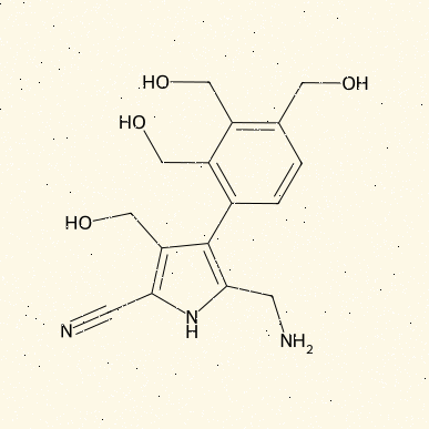 N#Cc1[nH]c(CN)c(-c2ccc(CO)c(CO)c2CO)c1CO